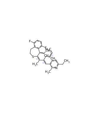 C/C=C(/C)CC(=C\c1ccc(CC)nc1C)/C(C)=C1/SCCc2c(F)ccc(F)c2C1=C(C)C